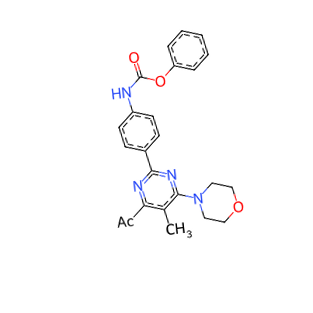 CC(=O)c1nc(-c2ccc(NC(=O)Oc3ccccc3)cc2)nc(N2CCOCC2)c1C